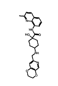 Cc1ccc2cccc(NC(=O)C3(O)CCC(NCc4cc5c(cn4)OCCO5)CC3)c2n1